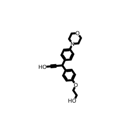 OC#CC(c1ccc(OCCO)cc1)c1ccc(N2CCOCC2)cc1